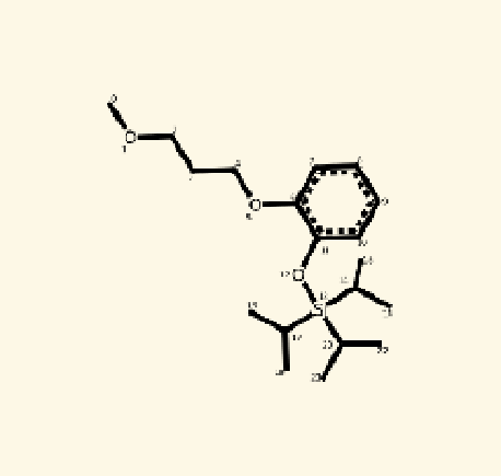 COCCCOc1c[c]ccc1O[Si](C(C)C)(C(C)C)C(C)C